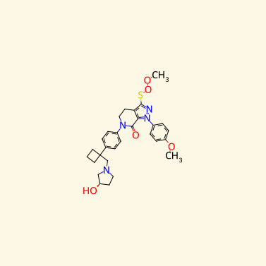 COOSc1nn(-c2ccc(OC)cc2)c2c1CCN(c1ccc(C3(CN4CC[C@@H](O)C4)CCC3)cc1)C2=O